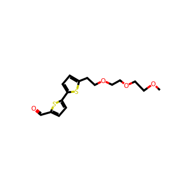 COCCOCCOCCc1ccc(-c2ccc(C=O)s2)s1